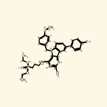 CCOP(=O)(CCCNc1nc(Cl)nc2c3cc(-c4ccc(F)cc4)ccc3n(Cc3ccc(OC)cc3)c12)OCC